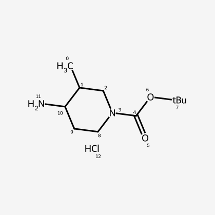 CC1CN(C(=O)OC(C)(C)C)CCC1N.Cl